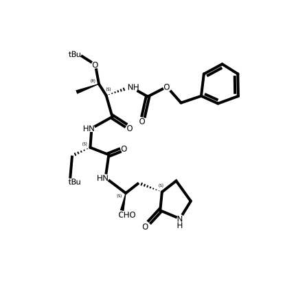 C[C@@H](OC(C)(C)C)[C@H](NC(=O)OCc1ccccc1)C(=O)N[C@@H](CC(C)(C)C)C(=O)N[C@H](C=O)C[C@@H]1CCNC1=O